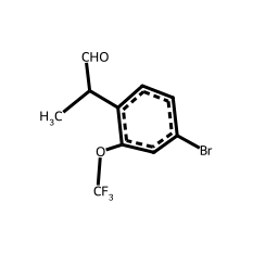 CC(C=O)c1ccc(Br)cc1OC(F)(F)F